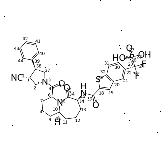 N#C[C@H]1CN(C(=O)[C@@H]2CCC[C@@H]3CCC[C@H](NC(=O)c4cc5cc(C(F)(F)P(=O)(O)O)ccc5s4)C(=O)N32)C[C@@H]1c1ccccc1